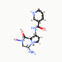 N[C@H]1CN(I)C(=O)c2c(NC(=O)c3cccnc3)ccn21